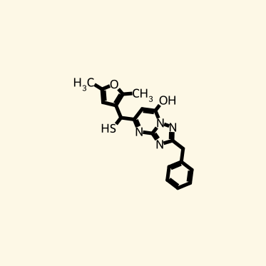 Cc1cc(C(S)c2cc(O)n3nc(Cc4ccccc4)nc3n2)c(C)o1